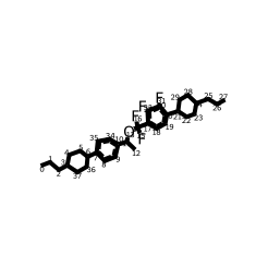 CCCC1CCC(c2ccc(C(C)OC(F)(F)c3ccc(C4CCC(CCC)CC4)c(F)c3F)cc2)CC1